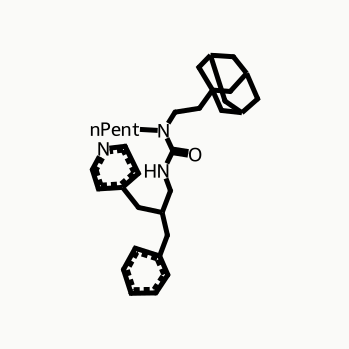 CCCCCN(CCC12CC3CC(CC(C3)C1)C2)C(=O)NCC(Cc1ccccc1)Cc1ccncc1